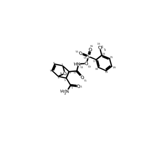 NC(=O)C1C2C=CC(O2)C1C(=O)NOS(=O)(=O)c1ccccc1C(F)(F)F